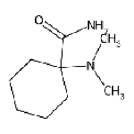 CN(C)C1(C(N)=O)CCCCC1